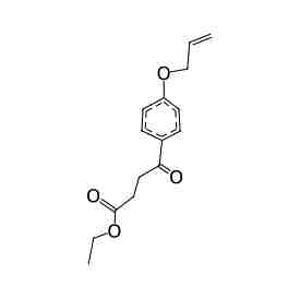 C=CCOc1ccc(C(=O)CCC(=O)OCC)cc1